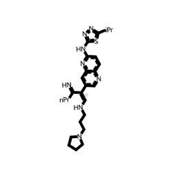 CCCC(=N)/C(=C\NCCCN1CCCC1)c1cnc2ccc(Nc3nnc(C(C)C)s3)nc2c1